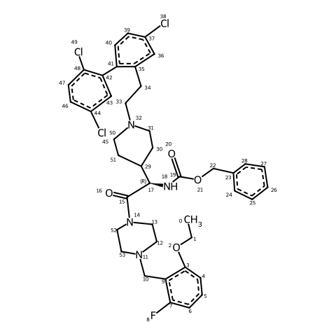 CCOc1cccc(F)c1CN1CCN(C(=O)[C@H](NC(=O)OCc2ccccc2)C2CCN(CCc3cc(Cl)ccc3-c3cc(Cl)ccc3Cl)CC2)CC1